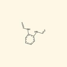 S=[C]Nc1ccccc1N[C]=S